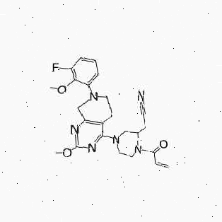 C=CC(=O)N1CCN(c2nc(OC)nc3c2CCN(c2cccc(F)c2OC)C3)CC1CC#N